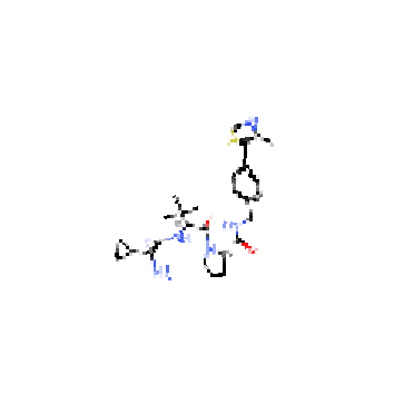 Cc1ncsc1-c1ccc(CNC(=O)[C@@H]2CCCN2C(=O)[C@@H](N/C=C(\N)C2CC2)C(C)(C)C)cc1